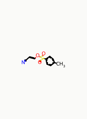 Cc1ccc(S(=O)(=O)OC=CC#N)cc1